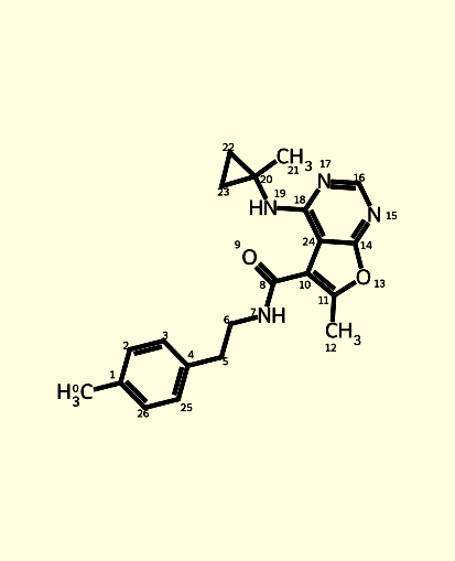 Cc1ccc(CCNC(=O)c2c(C)oc3ncnc(NC4(C)CC4)c23)cc1